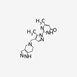 Cc1cc(=O)[nH]c(-n2ncc(CN3CCc4[nH]ncc4C3)c2C)n1